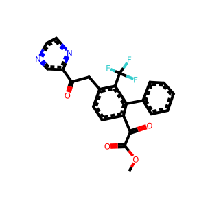 COC(=O)C(=O)c1ccc(CC(=O)c2cnccn2)c(C(F)(F)F)c1-c1ccccc1